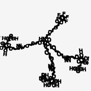 O=C(CCOCCOCCC(=O)Oc1c(F)c(F)c(F)c(F)c1F)NC(COCCOCCOCCn1cc(CCO[C@H]2O[C@H](CCP(=O)(O)O)[C@@H](O)[C@H](O)[C@@H]2O)nn1)(COCCOCCOCCn1cc(CCO[C@H]2O[C@H](CCP(=O)(O)O)[C@@H](O)[C@H](O)[C@@H]2O)nn1)COCCOCCOCCn1cc(CCO[C@H]2O[C@H](CCP(=O)(O)O)[C@@H](O)[C@H](O)[C@@H]2O)nn1